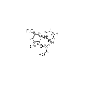 OC[C@@H]1C[C@@H]2CNCCN2c2cc(C(F)(F)F)cc(Cl)c2O1